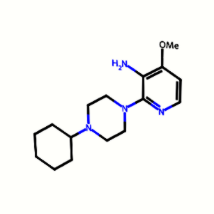 COc1ccnc(N2CCN(C3CCCCC3)CC2)c1N